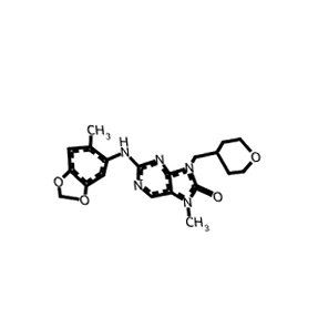 Cc1cc2c(cc1Nc1ncc3c(n1)n(CC1CCOCC1)c(=O)n3C)OCO2